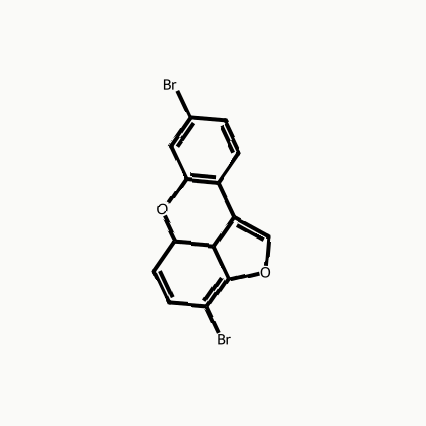 BrC1=C2OC=C3c4ccc(Br)cc4OC(C=C1)C32